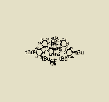 CC(C)(C)c1cc(-c2cccc3c2C=C(C2CCCC2)[CH]3[Hf+2]2([CH]3C(C4CCCC4)=Cc4c(-c5cc(C(C)(C)C)cc(C(C)(C)C)c5)cccc43)[CH2][CH2]2)cc(C(C)(C)C)c1.[Cl-].[Cl-]